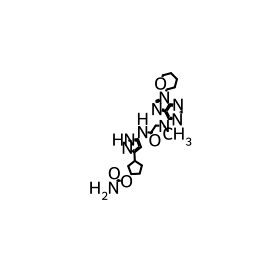 CN(CC(=O)Nc1cc(C2CCC(OC(N)=O)C2)n[nH]1)c1ncnc2c1ncn2C1CCCCO1